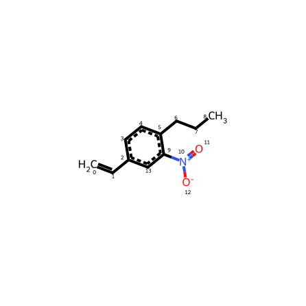 C=Cc1ccc(CCC)c([N+](=O)[O-])c1